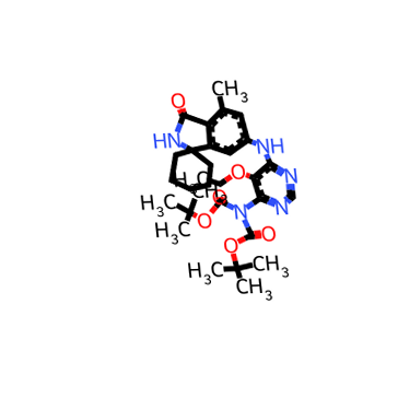 CCOc1c(Nc2cc(C)c3c(c2)C2(CCCCC2)NC3=O)ncnc1N(C(=O)OC(C)(C)C)C(=O)OC(C)(C)C